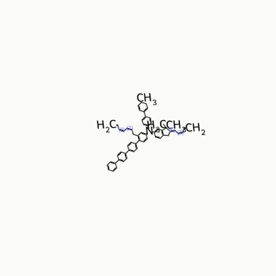 C=C/C=C\C=C/Cc1cc(N(c2ccc(C3=CCC(C)C=C3)cc2)c2ccc3c(c2)C(C)(C)/C(=C/C=C\C=C)C3)ccc1-c1ccc(-c2ccc(-c3ccccc3)cc2)cc1